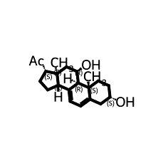 CC(=O)[C@H]1CC[C@H]2C3=CC=C4C[C@@H](O)CC[C@@]4(C)[C@@H]3[C@H](O)C[C@]12C